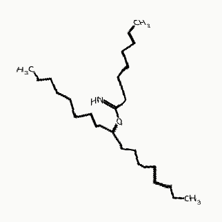 CCCCCCCCC(CCCCCCCC)OC(=N)CCCCCCC